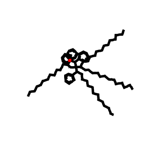 CCCCCCCCCCCCC[C](CCCCCCCCCCCCC)C([C]C(CCCCCCCCCCCC)c1ccccc1)([C](CCCCCCCCCCCCC)c1ccccc1)[C](c1ccccc1)c1ccccc1